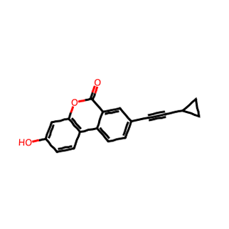 O=c1oc2cc(O)ccc2c2ccc(C#CC3CC3)cc12